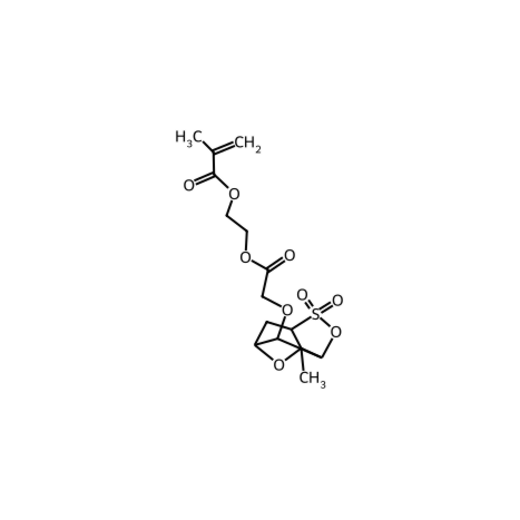 C=C(C)C(=O)OCCOC(=O)COC1C2CC3C(C)(O2)C1OS3(=O)=O